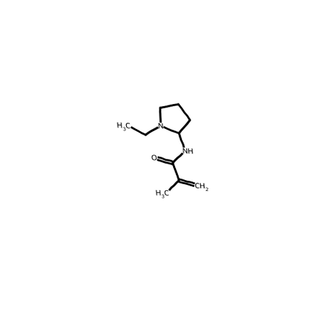 C=C(C)C(=O)NC1CCCN1CC